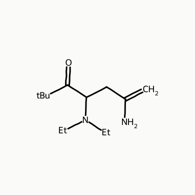 C=C(N)CC(C(=O)C(C)(C)C)N(CC)CC